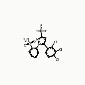 NS(=O)(=O)c1ccccc1-n1nc(C(F)(F)F)cc1-c1ccc(Cl)c(Cl)c1Cl